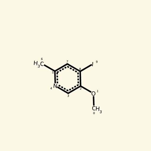 COc1cnc(C)cc1I